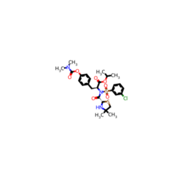 CC(C)OC(=O)[C@H](Cc1ccc(OC(=O)N(C)C)cc1)N(C(=O)[C@H]1NC(C)(C)CS1)S(=O)(=O)c1cccc(Cl)c1